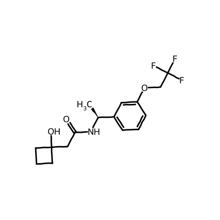 C[C@H](NC(=O)CC1(O)CCC1)c1cccc(OCC(F)(F)F)c1